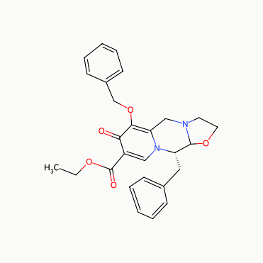 CCOC(=O)c1cn2c(c(OCc3ccccc3)c1=O)CN1CCOC1[C@@H]2Cc1ccccc1